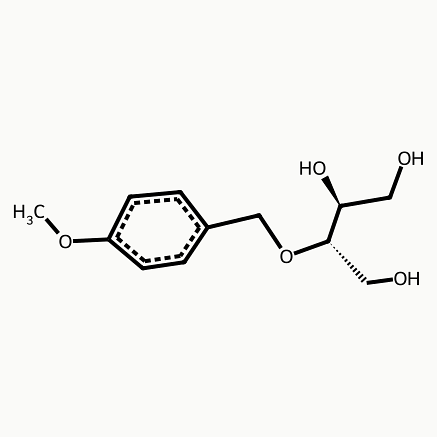 COc1ccc(CO[C@@H](CO)[C@@H](O)CO)cc1